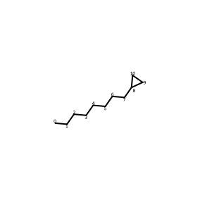 CCCCCCCCC1CC1